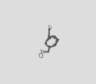 O=Cc1cccc(CN=O)c1